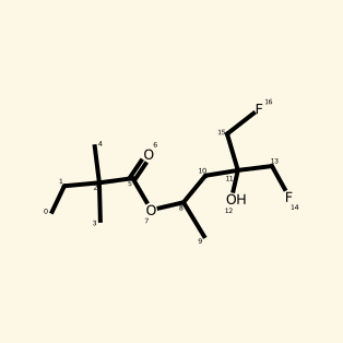 CCC(C)(C)C(=O)OC(C)CC(O)(CF)CF